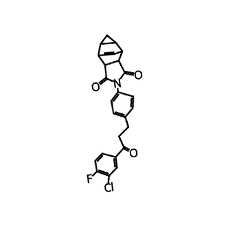 O=C(CCc1ccc(N2C(=O)C3C4C=CC(C5CC45)C3C2=O)cc1)c1ccc(F)c(Cl)c1